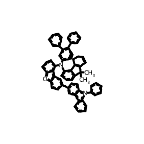 CC1(C)C2=C(CCC=C2)c2c(N(c3c#cc(-c4ccccc4)c(-c4ccccc4)c3)c3cccc4oc5ccc(-c6ccc7c(c6)c6ccccc6n7-c6ccccc6)cc5c34)cccc21